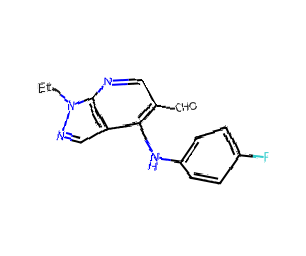 CCn1ncc2c(Nc3ccc(F)cc3)c(C=O)cnc21